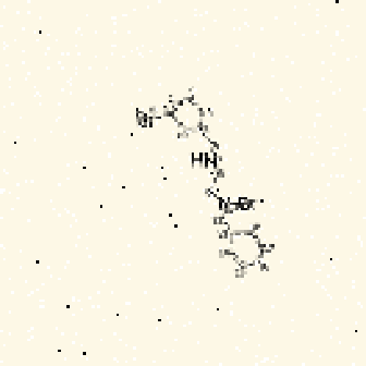 Brc1cccc(CN[CH][C]N(Br)Cc2ccccc2)c1